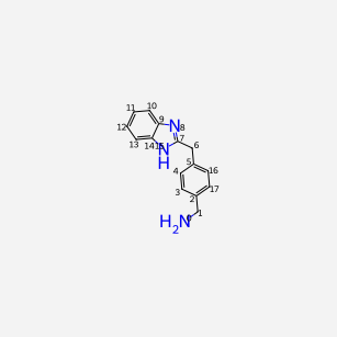 NCc1ccc(Cc2nc3ccccc3[nH]2)cc1